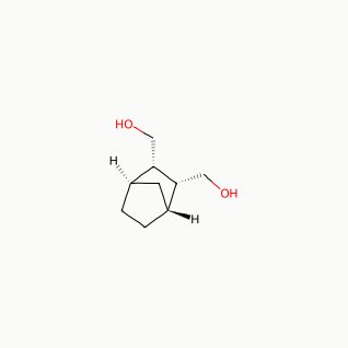 OC[C@@H]1[C@@H]2CC[C@H](C2)[C@@H]1CO